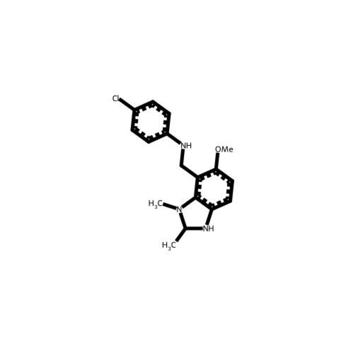 COc1ccc2c(c1CNc1ccc(Cl)cc1)N(C)C(C)N2